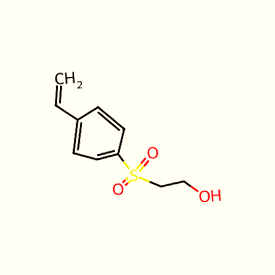 C=Cc1ccc(S(=O)(=O)CCO)cc1